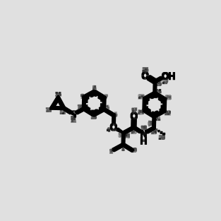 CC(C)[C@@H](OCc1cccc(SC2CC2)c1)C(=O)N[C@@H](C)c1ccc(C(=O)O)cc1